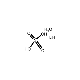 O.O=S(=O)(O)O.[LiH]